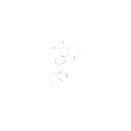 CC(=O)N1c2ccc(-c3cccc4c3CNN4C)cc2N(C(=O)C2CCCO2)C[C@@H]1C